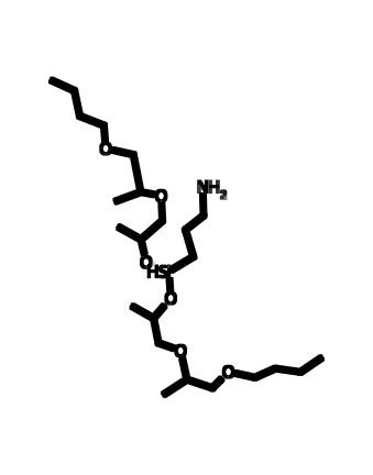 CCCCOCC(C)OCC(C)O[SiH](CCCN)OC(C)COC(C)COCCCC